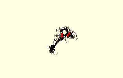 CCCCOC(=O)c1cn(CC)c2ccc(CCCNCCC(=O)O[C@@H]3[C@H](C)O[C@H](O[C@@H]4[C@@H](C)[C@H](O[C@@H]5O[C@H](C)C[C@H](N(C)C)[C@@H]5O)[C@](C)(OC)C[C@H](C)C(=O)[C@H](C)[C@@H](O)[C@](C)(O)[C@H](CC)OC(=O)[C@@H]4C)C[C@]3(C)OC)cc2c1=O